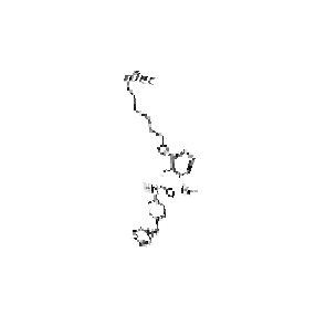 CCCCCCCCCCCCCCCCOc1ccccc1CC(=O)Nc1ccc(C[n+]2ccsc2)cc1.[Br-]